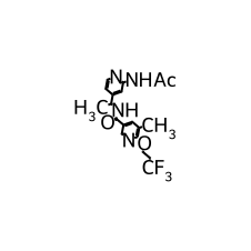 CC(=O)Nc1cc(C(C)NC(=O)c2cnc(OCCC(F)(F)F)c(C)c2)ccn1